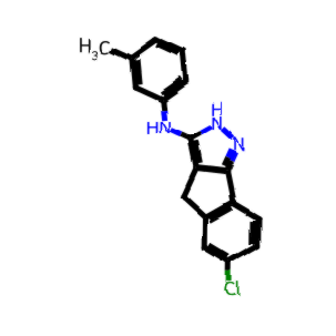 Cc1cccc(Nc2[nH]nc3c2Cc2cc(Cl)ccc2-3)c1